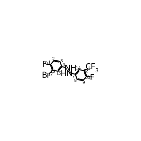 Fc1ccc(NNc2ccc(F)c(C(F)(F)F)c2)cc1Br